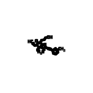 C#CCn1c(=O)c2c(nc(C#Cc3cccc(C)c3)n2C)n(CCCO)c1=O